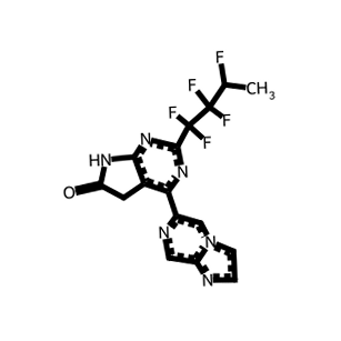 CC(F)C(F)(F)C(F)(F)c1nc2c(c(-c3cn4ccnc4cn3)n1)CC(=O)N2